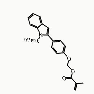 C=C(C)C(=O)OCOc1ccc(-c2cc3ccccc3n2CCCCC)cc1